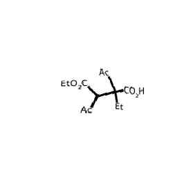 CCOC(=O)C(C(C)=O)C(CC)(C(C)=O)C(=O)O